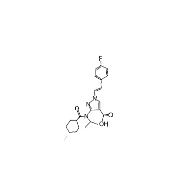 CC(C)N(c1nn(C=Cc2ccc(F)cc2)cc1C(=O)O)C(=O)[C@H]1CC[C@H](C)CC1